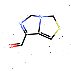 O=CC1=NCN2CSC=C12